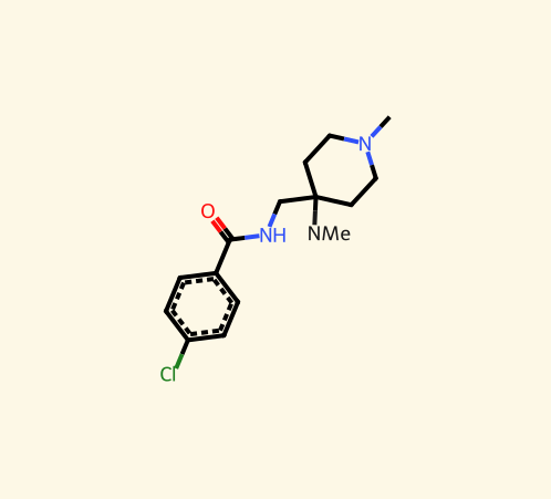 CNC1(CNC(=O)c2ccc(Cl)cc2)CCN(C)CC1